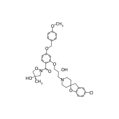 COc1ccc(COc2ccc(C(=O)N3C[C@](C)(O)CO3)c(OC[C@H](O)CN3CCC4(CC3)Cc3cc(Cl)ccc3O4)c2)cc1